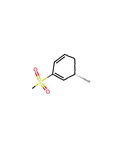 C[C@@H]1C=C(S(C)(=O)=O)C=CC1